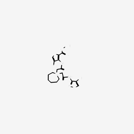 COC(=O)c1scc(C)c1NC(=O)C[N+]1(CC(=O)Nc2nocc2C)CCCCCC1